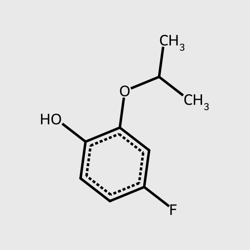 CC(C)Oc1cc(F)ccc1O